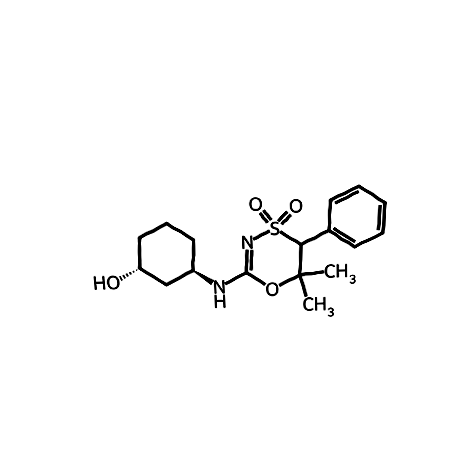 CC1(C)OC(N[C@@H]2CCC[C@@H](O)C2)=NS(=O)(=O)C1c1ccccc1